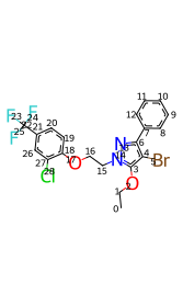 CCOc1c(Br)c(-c2ccccc2)nn1CCOc1ccc(C(F)(F)F)cc1Cl